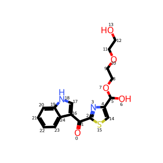 O=C(c1nc(C(O)OCCOCCO)cs1)c1c[nH]c2ccccc12